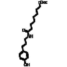 CCCCCCCCCCCCCCCCCC(=O)NCCCc1ccc(O)cc1